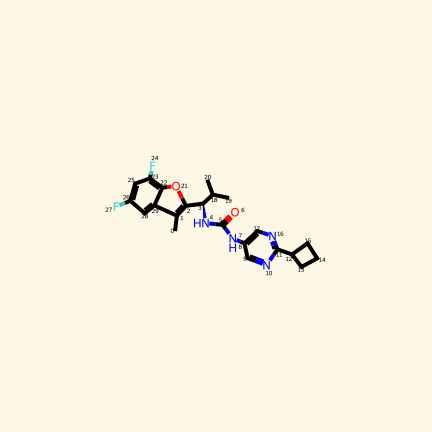 Cc1c([C@H](NC(=O)Nc2cnc(C3CCC3)nc2)C(C)C)oc2c(F)cc(F)cc12